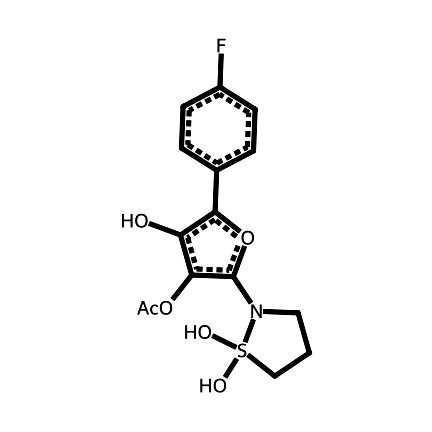 CC(=O)Oc1c(N2CCCS2(O)O)oc(-c2ccc(F)cc2)c1O